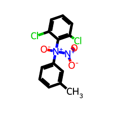 Cc1cccc([N+]([O-])(c2c(Cl)cccc2Cl)[N+](=O)[O-])c1